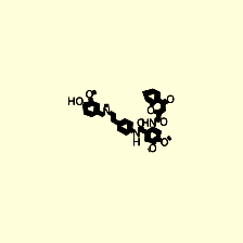 COc1cc(CN(C)CCc2ccc(NC(=O)c3cc(OC)c(OC)cc3NC(=O)c3cc(=O)c4ccccc4o3)cc2)ccc1O